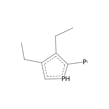 CCc1c[pH]c([P])c1CC